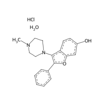 CN1CCN(c2c(-c3ccccc3)oc3cc(O)ccc23)CC1.Cl.O